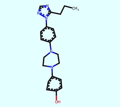 CCCc1ncnn1-c1ccc(N2CCN(c3ccc(O)cc3)CC2)cc1